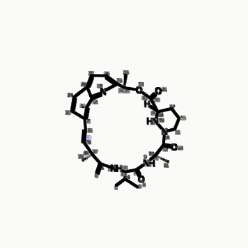 C=C1N[C@@H](C(C)C)C(=O)N[C@@H](C)C(=O)N2CCC[C@H](N2)C(=O)O[C@H](C)c2ccc3ccc(cc3n2)/C=C/[C@H]1C